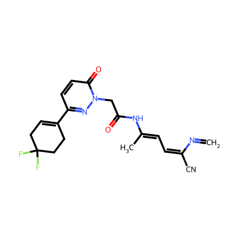 C=N/C(C#N)=C\C=C(/C)NC(=O)Cn1nc(C2=CCC(F)(F)CC2)ccc1=O